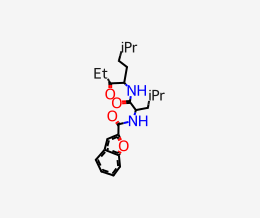 CCC(=O)C(CCC(C)C)NC(=O)C(CC(C)C)NC(=O)c1cc2ccccc2o1